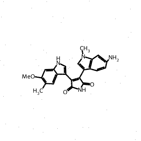 COc1cc2[nH]cc(C3=C(c4cn(C)c5cc(N)ccc45)C(=O)NC3=O)c2cc1C